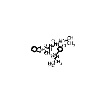 Cc1nc(-c2ccc(Cl)c(N(CCNC(C)C)C(=O)CNCC(=O)N(C)N3Cc4ccccc4C3)c2)no1.Cl.Cl